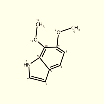 COc1ccc2cc[nH]c2c1OC